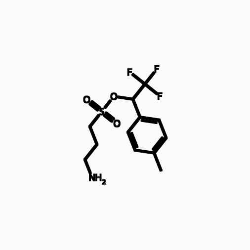 Cc1ccc(C(OS(=O)(=O)CCCN)C(F)(F)F)cc1